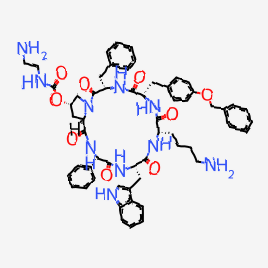 NCCCC[C@@H]1NC(=O)[C@H](Cc2c[nH]c3ccccc23)NC(=O)[C@H](c2ccccc2)NC(=O)[C@@H]2C[C@H](OC(=O)NCCN)CN2C(=O)[C@H](Cc2ccccc2)NC(=O)[C@H](Cc2ccc(OCc3ccccc3)cc2)NC1=O